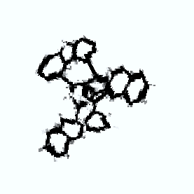 C1=CC2Oc3cccc(-c4ccc(-c5ccccc5)cc4)c3C2C(c2nc(-c3ccc4ccccc4c3)nc(-c3ccc4ccccc4c3)n2)=C1